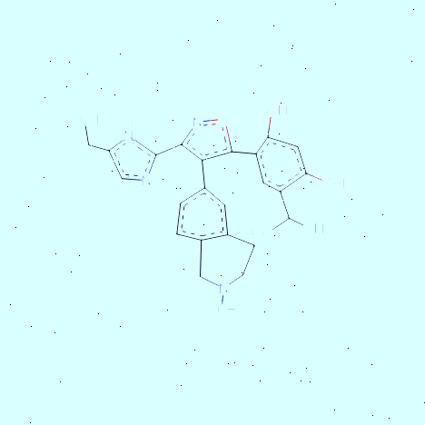 CCc1cnc(-c2noc(-c3cc(C(C)C)c(O)cc3O)c2-c2ccc3c(c2)CCN(C)C3)[nH]1